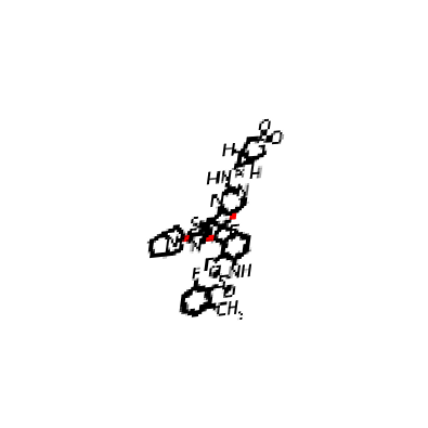 Cc1cccc(F)c1S(=O)(=O)Nc1cccc(-c2nc(N3C4CCC3CN(C3CC(F)(F)C3)C4)sc2-c2ccnc(N[C@@H]3[C@@H]4CS(=O)(=O)C[C@@H]43)n2)c1F